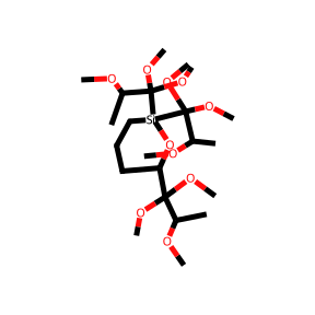 COC(C)C(OC)(OC)C1CCC[Si](C(OC)(OC)C(C)OC)(C(OC)(OC)C(C)OC)O1